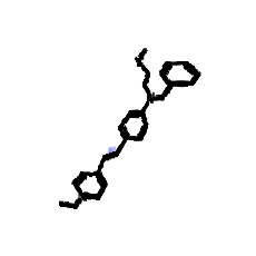 CC[n+]1ccc(/C=C/c2ccc(N(CCSC)Cc3ccccc3)cc2)cc1